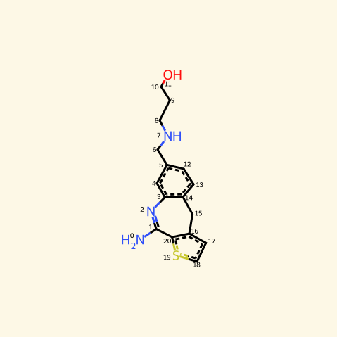 NC1=Nc2cc(CNCCCO)ccc2Cc2ccsc21